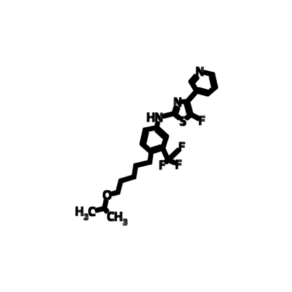 CC(C)OCCCCCc1ccc(Nc2nc(-c3cccnc3)c(F)s2)cc1C(F)(F)F